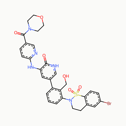 O=C(c1ccc(Nc2cc(-c3cccc(N4CCc5cc(Br)ccc5S4(=O)=O)c3CO)c[nH]c2=O)nc1)N1CCOCC1